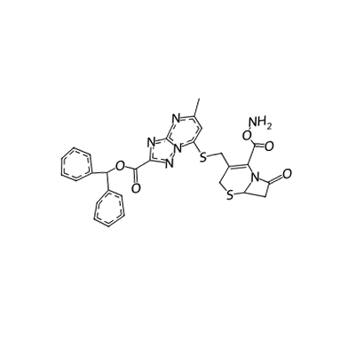 Cc1cc(SCC2=C(C(=O)ON)N3C(=O)CC3SC2)n2nc(C(=O)OC(c3ccccc3)c3ccccc3)nc2n1